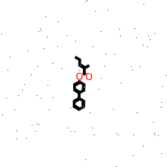 CCC=C(C)C(=O)Oc1ccc(-c2ccccc2)cc1